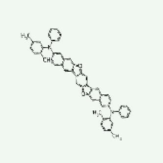 Cc1ccc(C)c(N(c2ccccc2)c2ccc3cc4c(cc3c2)oc2cc3c(cc24)oc2cc4cc(N(c5ccccc5)c5cc(C)ccc5C)ccc4cc23)c1